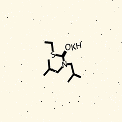 CCSC(=O)N(CC(C)C)CC(C)C.[KH]